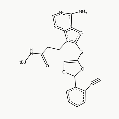 C#Cc1ccccc1C1OC=C(Sc2nc3c(N)ncnc3n2CCC(=O)NC(C)(C)C)O1